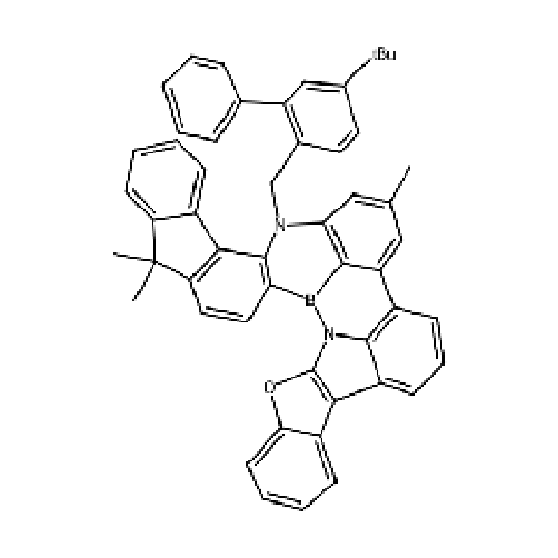 Cc1cc2c3c(c1)N(Cc1ccc(C(C)(C)C)cc1-c1ccccc1)c1c(ccc4c1-c1ccccc1C4(C)C)B3n1c3oc4ccccc4c3c3cccc-2c31